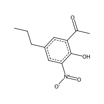 CCCc1cc(C(C)=O)c(O)c([N+](=O)[O-])c1